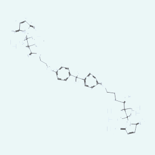 C=C1C=CC(=O)N1C(C)(C)C(C)(C)C(=O)CCCOc1ccc(C(C)(C)c2ccc(OCCOC(=O)C(C)(C)C(C)(C)N3C(=O)C=CC3=O)cc2)cc1